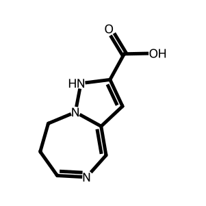 O=C(O)C1=CC2=CN=CCCN2N1